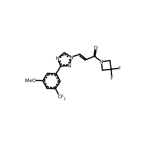 COc1cc(-c2ncn(C=CC(=O)N3CC(F)(F)C3)n2)cc(C(F)(F)F)c1